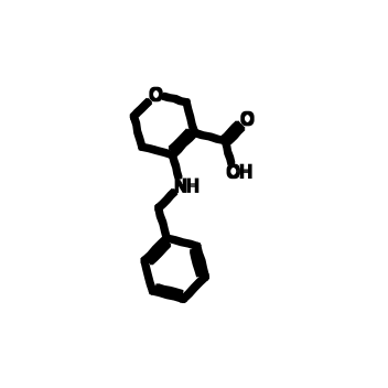 O=C(O)C1=C(NCc2ccccc2)CCOC1